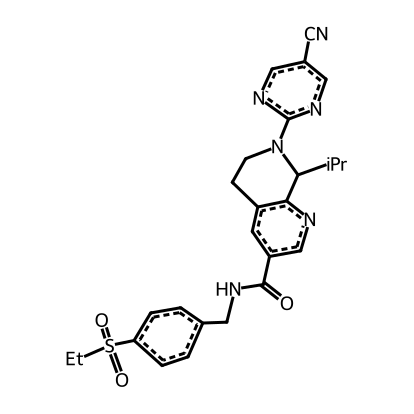 CCS(=O)(=O)c1ccc(CNC(=O)c2cnc3c(c2)CCN(c2ncc(C#N)cn2)C3C(C)C)cc1